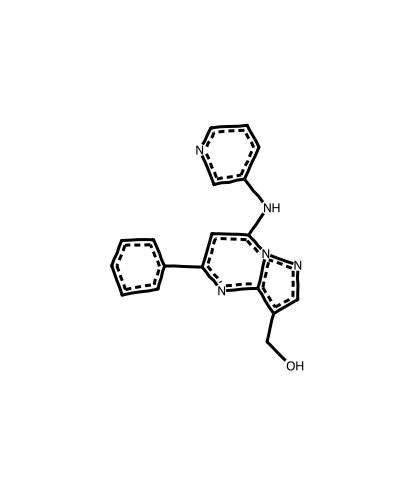 OCc1cnn2c(Nc3cccnc3)cc(-c3ccccc3)nc12